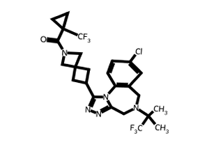 CC(C)(N1Cc2cc(Cl)ccc2-n2c(nnc2C2CC3(C2)CN(C(=O)C2(C(F)(F)F)CC2)C3)C1)C(F)(F)F